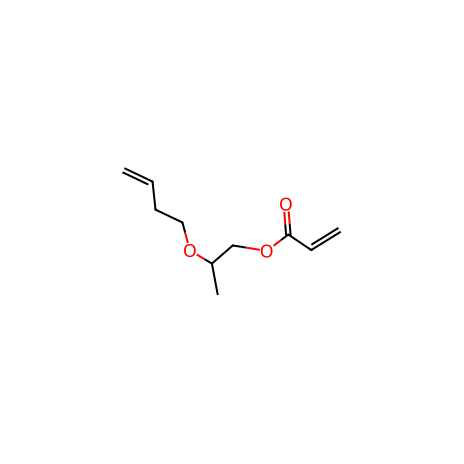 C=CCCOC(C)COC(=O)C=C